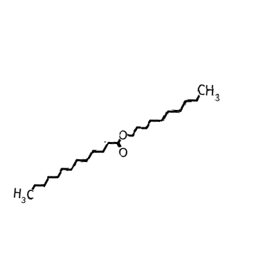 CCCCCCCCCCC[CH]C(=O)OCCCCCCCCCC